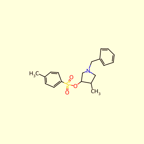 Cc1ccc(S(=O)(=O)OC2CN(Cc3ccccc3)CC2C)cc1